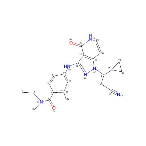 CCN(C)C(=O)c1ccc(Nc2nn(C(CC#N)C3CC3)c3cc[nH]c(=O)c23)cc1C